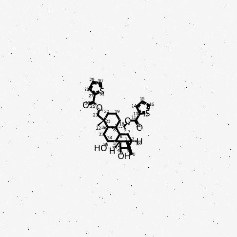 C=C1[C@H]2CC[C@]3(C(C2)[C@]2(COC(=O)c4cccs4)CCC[C@@](C)(COC(=O)c4cccs4)C2C[C@H]3O)[C@H]1O